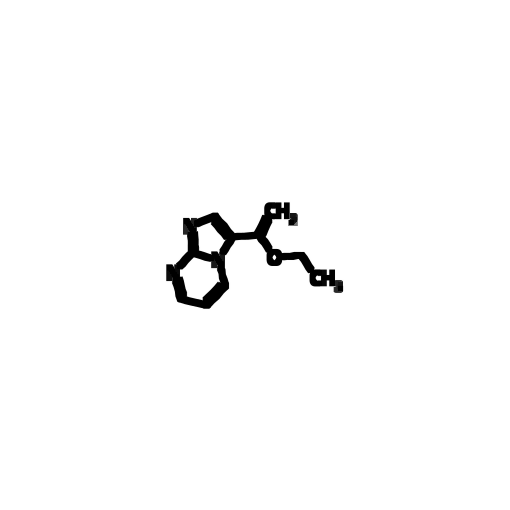 C=C(OCC)c1cnc2ncccn12